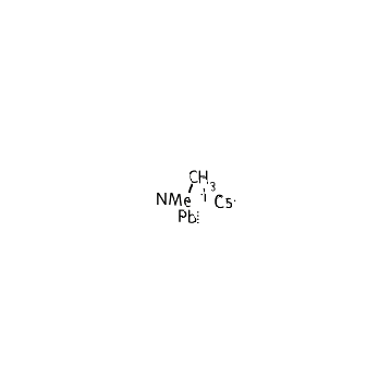 CNC.[Cs].[I].[Pb]